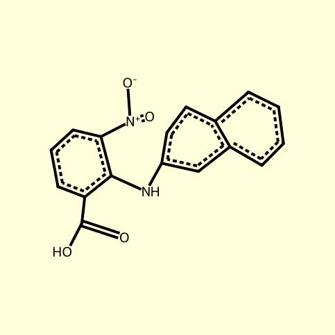 O=C(O)c1cccc([N+](=O)[O-])c1Nc1ccc2ccccc2c1